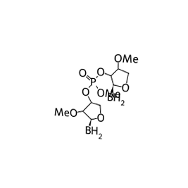 B[C@@H]1OCC(OP(=O)(OC)OC2C(OC)CO[C@H]2B)C1OC